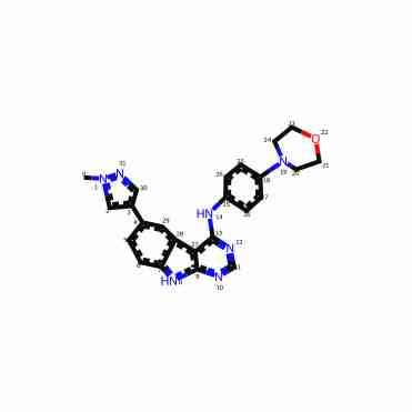 Cn1cc(-c2ccc3[nH]c4ncnc(Nc5ccc(N6CCOCC6)cc5)c4c3c2)cn1